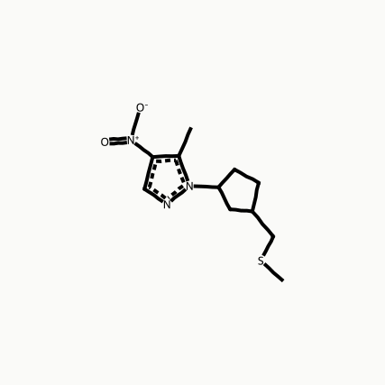 CSCC1CCC(n2ncc([N+](=O)[O-])c2C)C1